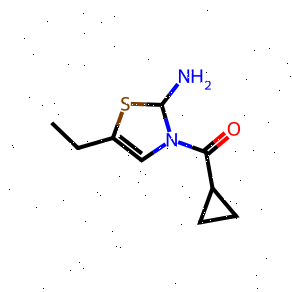 CCC1=CN(C(=O)C2CC2)C(N)S1